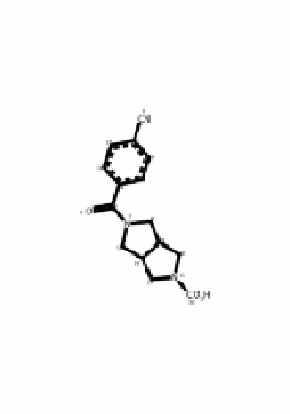 N#Cc1ccc(C(=O)N2CC3CN(C(=O)O)CC3C2)cc1